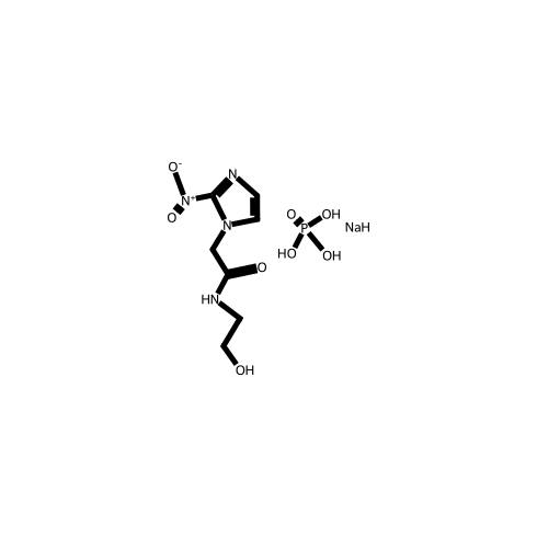 O=C(Cn1ccnc1[N+](=O)[O-])NCCO.O=P(O)(O)O.[NaH]